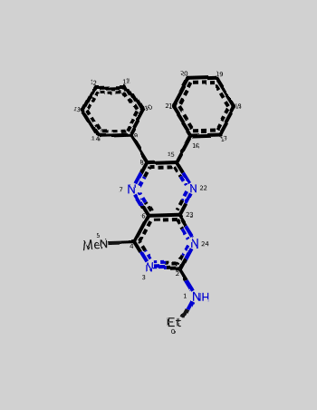 CCNc1nc(NC)c2nc(-c3ccccc3)c(-c3ccccc3)nc2n1